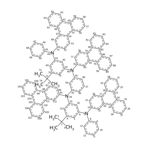 CC(C)(C)c1cc(N(c2ccccc2)c2ccc3c4ccccc4c4ccccc4c3c2)cc(N(c2cccc(N(c3cc(N(c4ccccc4)c4ccc5c6ccccc6c6ccccc6c5c4)cc(C(C)(C)C)c3)c3ccc4c5ccccc5c5ccccc5c4c3)c2)c2ccc3c4ccccc4c4ccccc4c3c2)c1